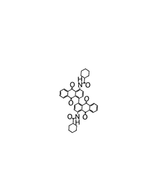 O=C1c2ccccc2C(=O)c2c(-c3ccc(NC(=O)C4CCCCC4)c4c3C(=O)c3ccccc3C4=O)ccc(NC(=O)C3CCCCC3)c21